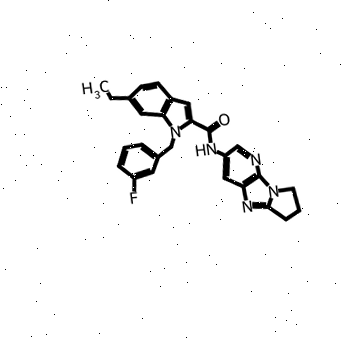 CCc1ccc2cc(C(=O)Nc3cnc4c(c3)nc3n4CCC3)n(Cc3cccc(F)c3)c2c1